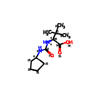 CC(C)(C)[C@H](NC(=O)NC1CCCC1)C(=O)O